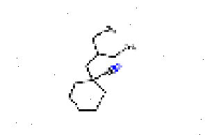 CCC(CC)CC1(C#N)CCCCC1